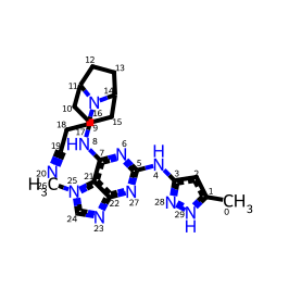 Cc1cc(Nc2nc(NC3CC4CCC(C3)N4CCC#N)c3c(ncn3C)n2)n[nH]1